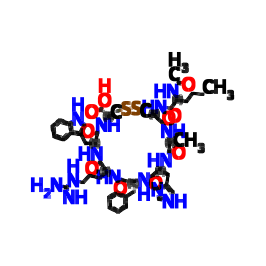 CCCC[C@H](NC(C)=O)C(=O)N[C@H]1CSSC[C@@H](C(=O)O)NC(=O)[C@H](Cc2c[nH]c3ccccc23)NC(=O)[C@H](CCCNC(=N)N)NC(=O)[C@@H](Cc2ccccc2)NC(=O)[C@H](Cc2c[nH]cn2)NC(=O)[C@@H](C)NC1=O